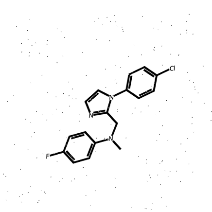 CN(Cc1nccn1-c1ccc(Cl)cc1)c1ccc(F)cc1